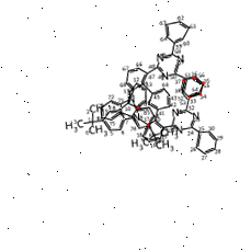 CC(C)(C)c1ccc2c(c1)c1ccccc1n2-c1cccc(-c2nc(-c3ccccc3)nc(-c3ccccc3)n2)c1-c1cccc(-c2c(-c3nc(-c4ccccc4)nc(-c4ccccc4)n3)cccc2-n2c3ccccc3c3cc(C(C)(C)C)ccc32)c1